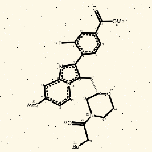 COC(=O)c1ccc(-c2nc3cc(SC)ccn3c2C[C@H]2CN(C(=O)CC(C)(C)C)CCO2)c(F)c1